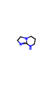 C1CNC2=NCCN2C1